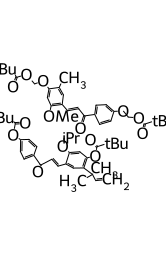 C=CC(C)(C)c1cc(/C=C/C(=O)c2ccc(OC(=O)C(C)(C)C)cc2)c(OC(C)C)cc1OC(=O)C(C)(C)C.COc1cc(OCOC(=O)C(C)(C)C)c(C)cc1/C=C/C(=O)c1ccc(OCOC(=O)C(C)(C)C)cc1